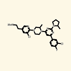 CNCCc1cnc(N2CCN(c3cc(-c4ccc(F)c(Cl)c4)nc(N4CCCC4C)n3)C(C)C2)c(Cl)c1